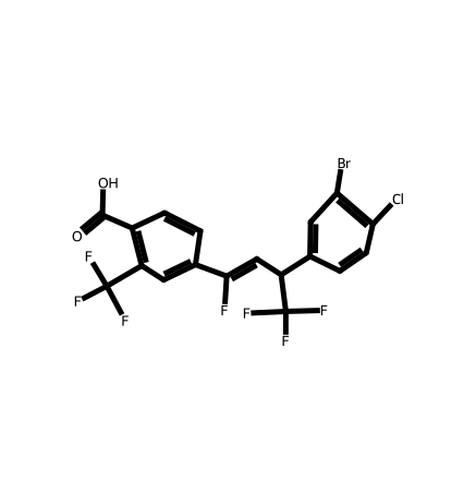 O=C(O)c1ccc(/C(F)=C/C(c2ccc(Cl)c(Br)c2)C(F)(F)F)cc1C(F)(F)F